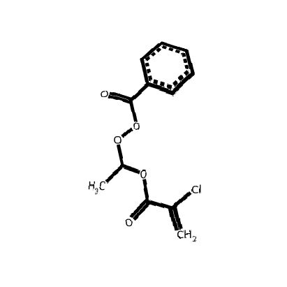 C=C(Cl)C(=O)OC(C)OOC(=O)c1ccccc1